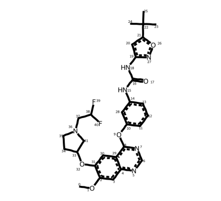 COc1cc2ncnc(Oc3cccc(NC(=O)Nc4cc(C(C)(C)C)on4)c3)c2cc1OC1CCN(CC(F)F)C1